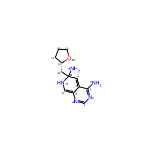 Nc1ncnc2c1=CC(N)(C[C@@H]1CCCO1)NC=2